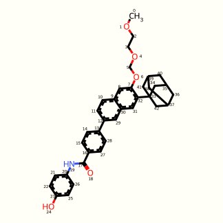 COCCOCOc1cc2ccc(-c3ccc(C(=O)Nc4ccc(O)cc4)cc3)cc2cc1C12CC3CC(CC(C3)C1)C2